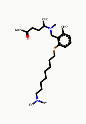 CNC(=O)CCC(C=O)N(C)Cc1c(C=O)cccc1SCCCCCCCCN(C(C)C)C(C)C